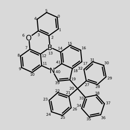 C1=CC2=C(CC1)Oc1cccc3c1B2c1cccc2c(C(c4ccccc4)(c4ccccc4)c4ccccc4)cn-3c12